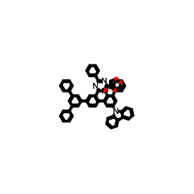 c1ccc(-c2cc(-c3ccccc3)cc(-c3ccc(-c4cc(-n5c6ccccc6c6ccccc65)cc5c4oc4ccccc45)c(-c4nc(-c5ccccc5)nc(-c5ccccc5)n4)c3)c2)cc1